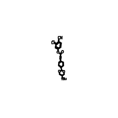 CCCCC1COC(c2ccc(C#CC(=O)Oc3ccc(C#N)c(Cl)c3)cc2)OC1